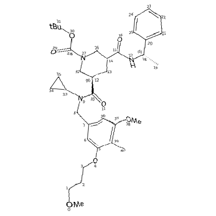 COCCCOc1cc(CN(C(=O)[C@@H]2CC(C(=O)N[C@@H](C)c3ccccc3)CN(C(=O)OC(C)(C)C)C2)C2CC2)cc(OC)c1C